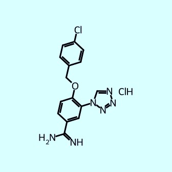 Cl.N=C(N)c1ccc(OCc2ccc(Cl)cc2)c(-n2cnnn2)c1